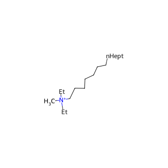 CCCCCCCCCCCCCC[N+](C)(CC)CC